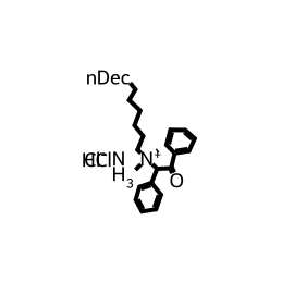 CCCCCCCCCCCCCCCC[N+](C)(C)C(C(=O)c1ccccc1)c1ccccc1.Cl.N.[Cl-]